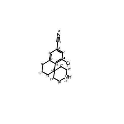 N#Cc1cc(Cl)c2c(c1)CCCC21CCNCC1